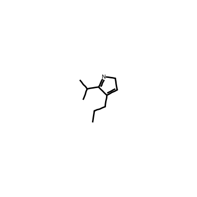 CCCC1=CCN=C1C(C)C